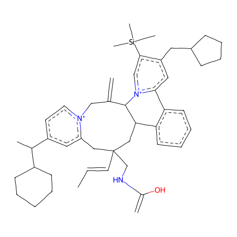 C=C(O)NCC1(C=CC)Cc2cc(C(C)C3CCCCC3)cc[n+]2CC(=C)C2C(C1)c1ccccc1-c1cc(CC3CCCC3)c([Si](C)(C)C)c[n+]12